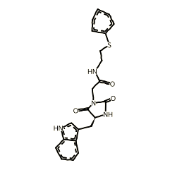 O=C(CN1C(=O)N[C@@H](Cc2c[nH]c3ccccc23)C1=O)NCCSc1ccccc1